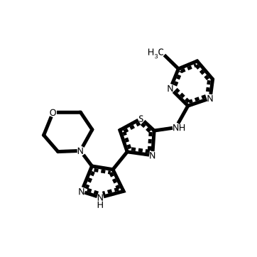 Cc1ccnc(Nc2nc(-c3c[nH]nc3N3CCOCC3)cs2)n1